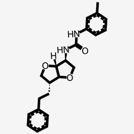 Cc1cccc(NC(=O)N[C@H]2COC3[C@H](CCc4ccccc4)CO[C@@H]32)c1